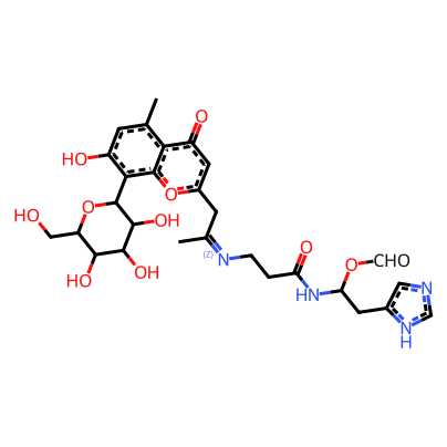 C/C(Cc1cc(=O)c2c(C)cc(O)c(C3OC(CO)C(O)C(O)C3O)c2o1)=N/CCC(=O)NC(Cc1cnc[nH]1)OC=O